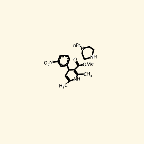 CCCN1CCNCC1.COC(=O)C1=C(C)NC(C)=CC1c1cccc([N+](=O)[O-])c1